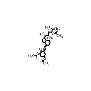 C=C1/C(=C\C=C2CCC[C@@]3(C)C2CC[C@@H]3[C@H](C)CCC(OC(C)=O)C(C)C)C[C@H](OC(C)=O)C[C@H]1OC(C)=O